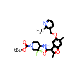 Cc1cc2oc(C)c(C(=O)NC3CCN(C(=O)OC(C)(C)C)CC3(F)F)c2cc1OCc1cccnc1C(F)(F)F